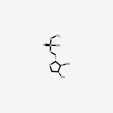 COP(=O)(O)OC[C@H]1OC[C@H](O)[C@@H]1O